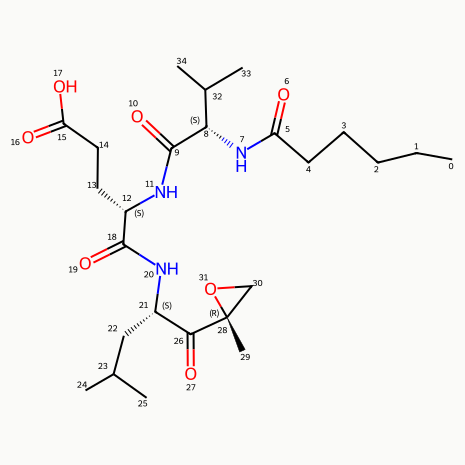 CCCCCC(=O)N[C@H](C(=O)N[C@@H](CCC(=O)O)C(=O)N[C@@H](CC(C)C)C(=O)[C@@]1(C)CO1)C(C)C